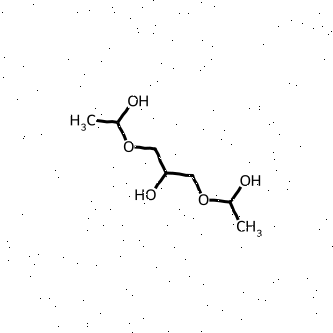 CC(O)OC[C](O)COC(C)O